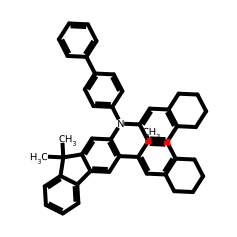 Cc1cc2c(cc1-c1cc3c(cc1N(c1ccc(-c4ccccc4)cc1)c1ccc4c(c1)CCCC4)C(C)(C)c1ccccc1-3)CCCC2